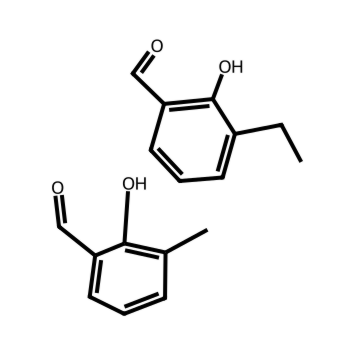 CCc1cccc(C=O)c1O.Cc1cccc(C=O)c1O